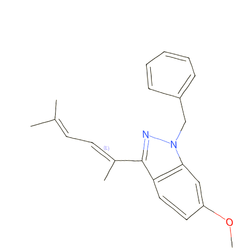 COc1ccc2c(/C(C)=C/C=C(C)C)nn(Cc3ccccc3)c2c1